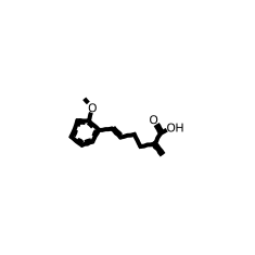 C=C(CCC=Cc1ccccc1OC)C(=O)O